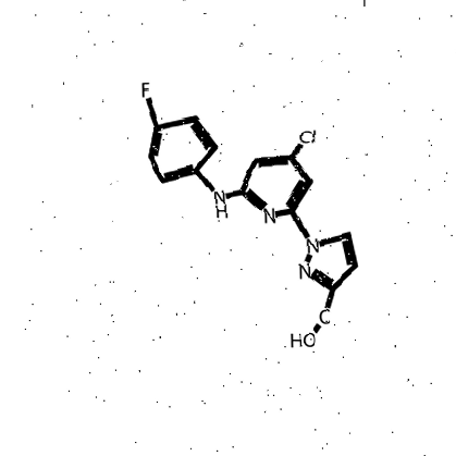 OCc1ccn(-c2cc(Cl)cc(Nc3ccc(F)cc3)n2)n1